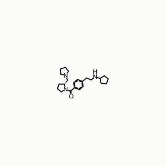 O=C(c1ccc(CCNC2CCCC2)cc1)N1CCC[C@H]1CN1CCCC1